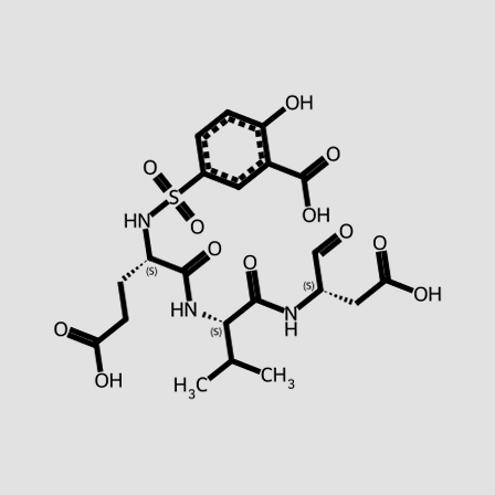 CC(C)[C@H](NC(=O)[C@H](CCC(=O)O)NS(=O)(=O)c1ccc(O)c(C(=O)O)c1)C(=O)N[C@H](C=O)CC(=O)O